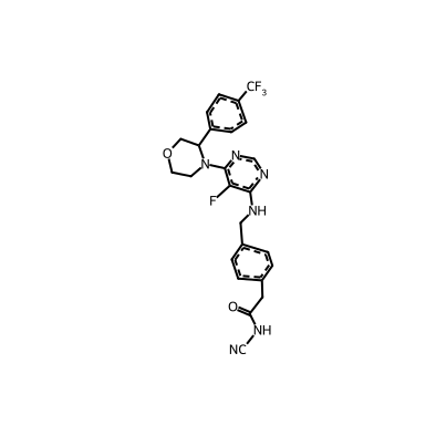 N#CNC(=O)Cc1ccc(CNc2ncnc(N3CCOCC3c3ccc(C(F)(F)F)cc3)c2F)cc1